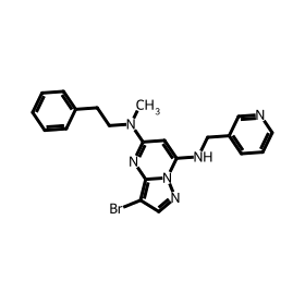 CN(CCc1ccccc1)c1cc(NCc2cccnc2)n2ncc(Br)c2n1